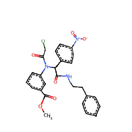 COC(=O)c1cccc(N(C(=O)CCl)C(C(=O)NCCc2ccccc2)c2ccc([N+](=O)[O-])cc2)c1